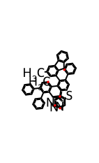 Cc1cc2c(c(-c3c(-c4ccccc4)cc4sc5ccccc5c4c3-c3ccc(-c4ccccc4)c(-c4ccccc4)c3-c3ccnnn3)c1C)Cc1ccccc1-2